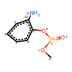 CO[PH](=O)Oc1ccccc1N